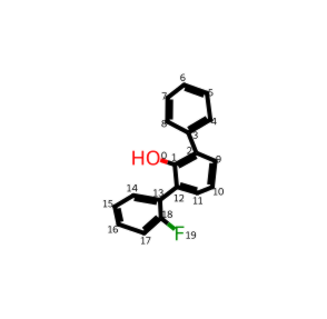 Oc1c(-c2ccccc2)cccc1-c1ccccc1F